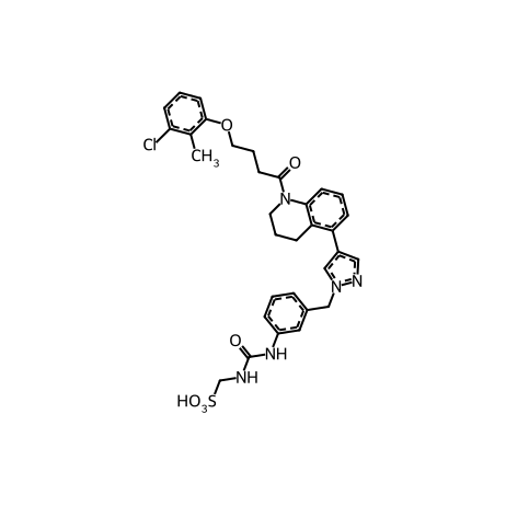 Cc1c(Cl)cccc1OCCCC(=O)N1CCCc2c(-c3cnn(Cc4cccc(NC(=O)NCS(=O)(=O)O)c4)c3)cccc21